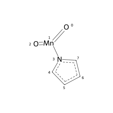 [O]=[Mn](=[O])[n]1cccc1